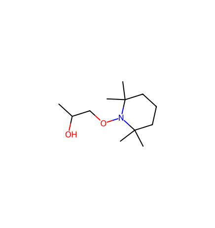 CC(O)CON1C(C)(C)CCCC1(C)C